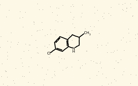 CC1CNc2cc(Cl)ccc2C1